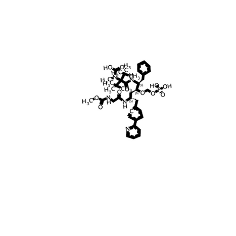 COC(=O)NCC(=O)N[C@@H](Cc1ccc(-c2ccccn2)cc1)C[C@H](OCOP(=O)(O)O)[C@H](Cc1ccccc1)NC(=O)C(N(C)C(=O)O)(C(C)(C)C)C(C)(C)C